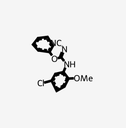 COc1ccc(Cl)cc1N/C(=N/C#N)Oc1ccccc1